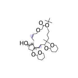 CCCCC(C)(C)C(/C=C/[C@H]1C(OC2CCCCO2)C[C@H](O)[C@@H]1C/C=C\COCC(=O)OC(C)(C)C)OC1CCCCO1